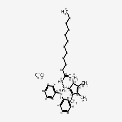 CCCCCCCCCCCC(=O)[NH][Zr+2]([C]1=C(C)C(C)=C(C)C1C)[SiH](c1ccccc1)c1ccccc1.[Cl-].[Cl-]